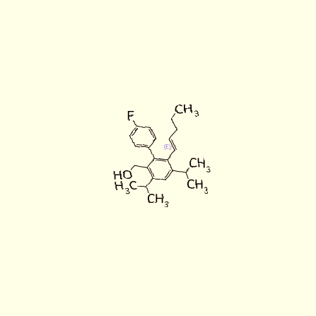 CCC/C=C/c1c(C(C)C)cc(C(C)C)c(CO)c1-c1ccc(F)cc1